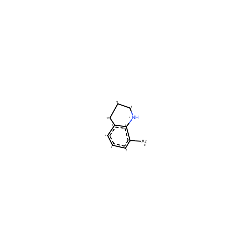 CC(=O)c1cccc2c1NCCC2